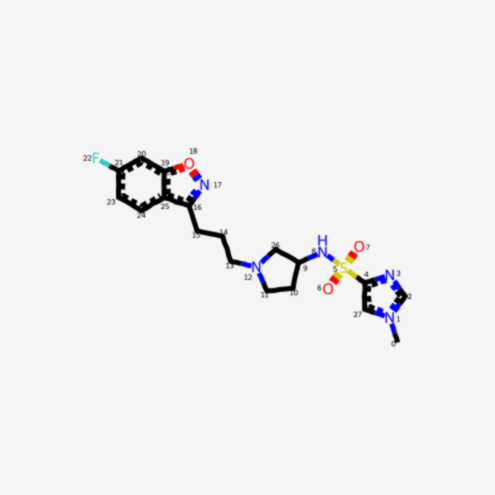 Cn1cnc(S(=O)(=O)NC2CCN(CCCc3noc4cc(F)ccc34)C2)c1